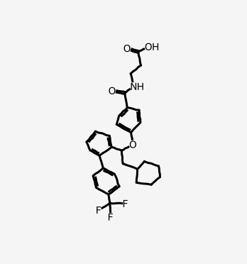 O=C(O)CCNC(=O)c1ccc(OC(CC2CCCCC2)c2ccccc2-c2ccc(C(F)(F)F)cc2)cc1